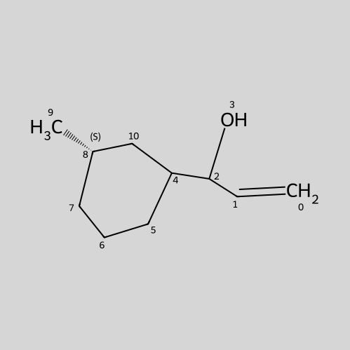 C=CC(O)C1CCC[C@H](C)C1